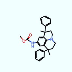 COC(=O)Nc1cc2c3c(c1)C(C)(c1ccccc1)CCN3CCC2(C)c1ccccc1